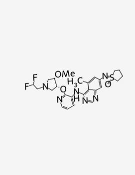 CO[C@@H]1CN(CC(F)F)C[C@H]1Oc1ncccc1Nc1ncnc2cc(N=S3(=O)CCCC3)cc(C)c12